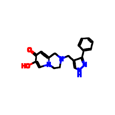 O=c1cc2n(cc1O)CCN(Cc1c[nH]nc1-c1ccccc1)C2